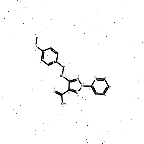 COc1ccc(CNc2nn(-c3ccccn3)nc2C(=O)O)cc1